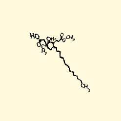 CCCCCCCCCCCCCC=C1CC[C@@](C)(CC(=O)O)[C@@H](O)[C@H]1SCC(=O)OC